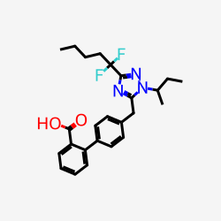 CCCCC(F)(F)c1nc(Cc2ccc(-c3ccccc3C(=O)O)cc2)n(C(C)CC)n1